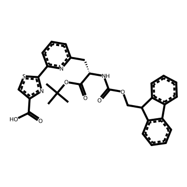 CC(C)(C)OC(=O)[C@H](Cc1cccc(-c2nc(C(=O)O)cs2)n1)NC(=O)OCC1c2ccccc2-c2ccccc21